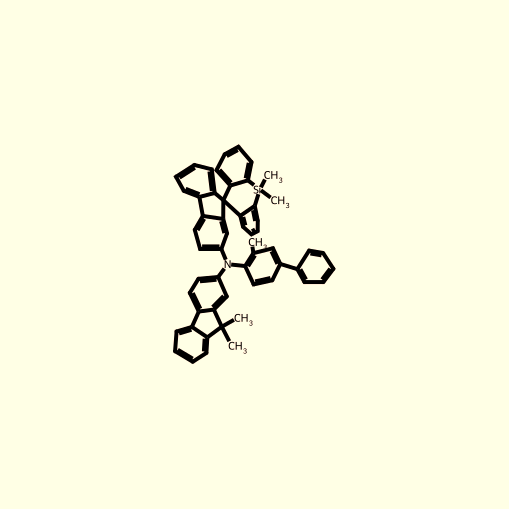 Cc1cc(-c2ccccc2)ccc1N(c1ccc2c(c1)C(C)(C)c1ccccc1-2)c1ccc2c(c1)C1(c3ccccc3-2)c2ccccc2[Si](C)(C)c2ccccc21